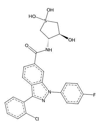 O=C(N[C@@H]1CS(O)(O)C[C@H]1O)c1ccc2c(-c3ccccc3Cl)nn(-c3ccc(F)cc3)c2c1